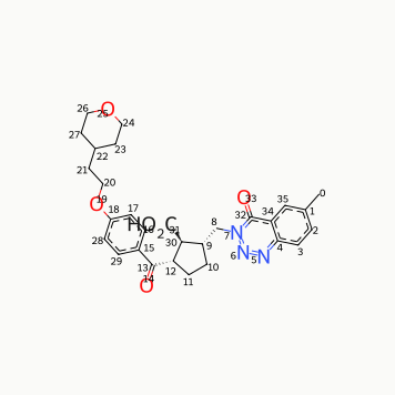 Cc1ccc2nnn(C[C@@H]3CC[C@H](C(=O)c4ccc(OCCC5CCOCC5)cc4)[C@H]3C(=O)O)c(=O)c2c1